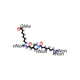 CCCCCCCCC/C(=C\CC(=O)N1CCC(=CC(=O)CN(CCCCCCCCC)CCCCCCCC(=O)OC)CC1)CCCN(CCCCCCCCC)CCCCCCCCC